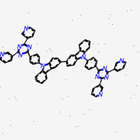 c1cncc(-c2nc(-c3ccc(-n4c5ccccc5c5cc(-c6ccc7c(c6)c6ccccc6n7-c6ccc(-c7nc(-c8cccnc8)nc(-c8cccnc8)n7)cc6)ccc54)cc3)nc(-c3cccnc3)n2)c1